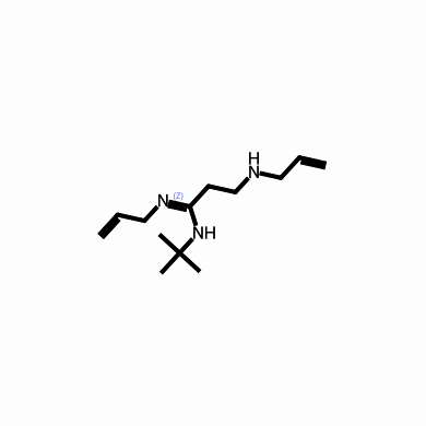 C=CC/N=C(/CCNCC=C)NC(C)(C)C